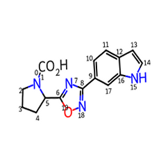 O=C(O)N1CCCC1c1nc(-c2ccc3cc[nH]c3c2)no1